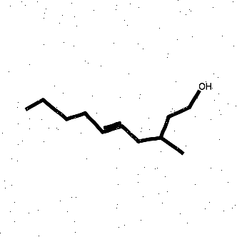 CCCCC=CCC(C)CCO